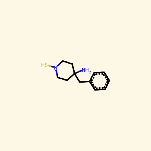 NC1(Cc2ccccc2)CCN(S)CC1